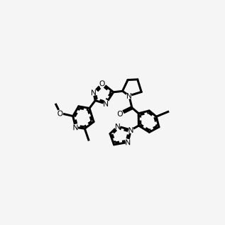 COc1cc(-c2noc(C3CCCN3C(=O)c3cc(C)ccc3-n3nccn3)n2)cc(C)n1